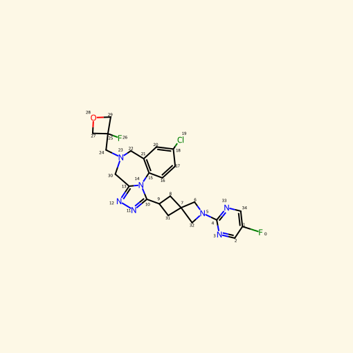 Fc1cnc(N2CC3(CC(c4nnc5n4-c4ccc(Cl)cc4CN(CC4(F)COC4)C5)C3)C2)nc1